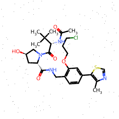 CC(=O)N[C@H](C(=O)N1C[C@H](O)C[C@H]1C(=O)NCc1ccc(-c2scnc2C)cc1OCCCCl)C(C)(C)C